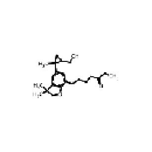 CCC(=O)CCCCc1cc(C2(C)CC2CO)cc2c1OCC2(C)C